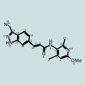 COc1cc(C)c(NC(=O)/C=C/c2ccc3c(C#N)n[nH]c3c2)c(C)n1